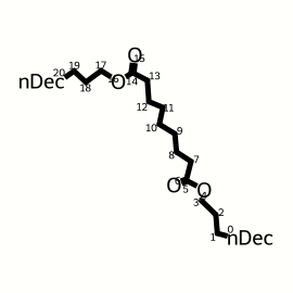 CCCCCCCCCCCCCOC(=O)CCCCCCCC(=O)OCCCCCCCCCCCCC